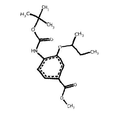 CCC(C)Oc1cc(C(=O)OC)ccc1NC(=O)OC(C)(C)C